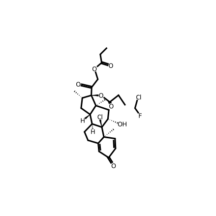 CCC(=O)OCC(=O)[C@@]1(OC(=O)CC)[C@@H](C)C[C@H]2[C@@H]3CCC4=CC(=O)C=C[C@]4(C)[C@@]3(Cl)[C@@H](O)C[C@@]21C.FCCl